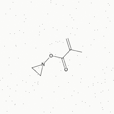 C=C(C)C(=O)ON1CC1